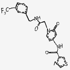 O=C(Cn1ccc(NC(=O)c2cscn2)cc1=O)NCc1cccc(C(F)(F)F)c1